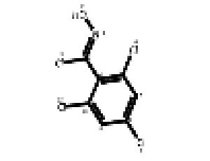 O/N=C(\Cl)c1c(Cl)cc(Cl)cc1Cl